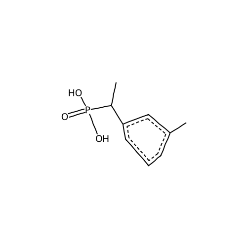 Cc1cccc(C(C)P(=O)(O)O)c1